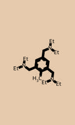 CCN(CC)Cc1cc(CN(CC)CC)c(C)c(CN(CC)CC)c1